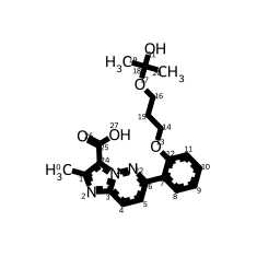 Cc1nc2ccc(-c3ccccc3OCCCOC(C)(C)O)nn2c1C(=O)O